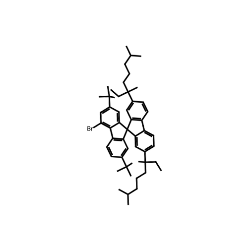 CCC(C)(CCCC(C)C)c1ccc2c(c1)C1(c3cc(C(C)(CC)CCCC(C)C)ccc3-2)c2cc(C(C)(C)C)ccc2-c2c(Br)cc(C(C)(C)C)cc21